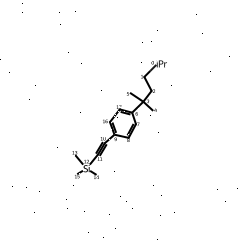 CC(C)CCC(C)(C)c1ccc(C#C[Si](C)(C)C)cc1